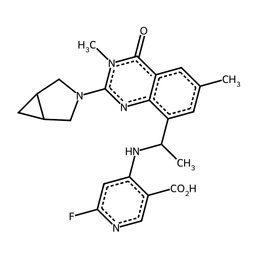 Cc1cc(C(C)Nc2cc(F)ncc2C(=O)O)c2nc(N3CC4CC4C3)n(C)c(=O)c2c1